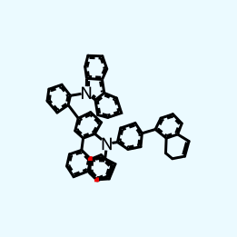 C1=Cc2cccc(-c3ccc(N(c4ccccc4)c4ccc(-c5ccccc5-n5c6ccccc6c6ccccc65)cc4-c4cccc5ccccc45)cc3)c2CC1